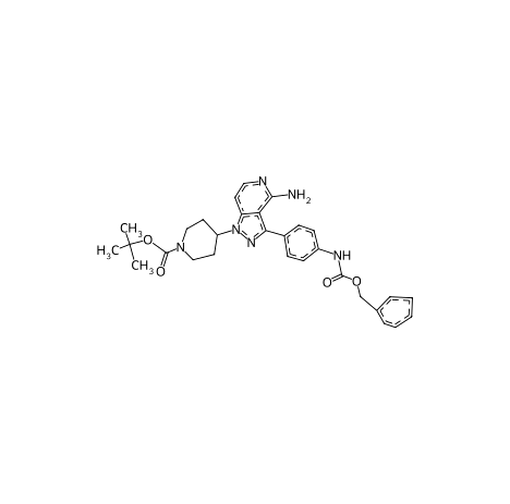 CC(C)(C)OC(=O)N1CCC(n2nc(-c3ccc(NC(=O)OCc4ccccc4)cc3)c3c(N)nccc32)CC1